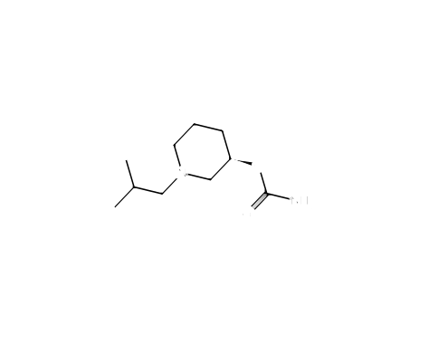 CC(C)CN1CCC[C@@H](OC(N)=O)C1